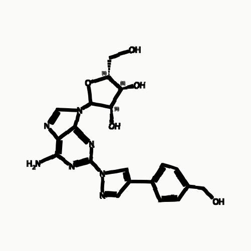 Nc1nc(-n2cc(-c3ccc(CO)cc3)cn2)nc2c1ncn2C1O[C@H](CO)[C@@H](O)[C@H]1O